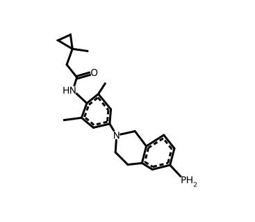 Cc1cc(N2CCc3cc(P)ccc3C2)cc(C)c1NC(=O)CC1(C)CC1